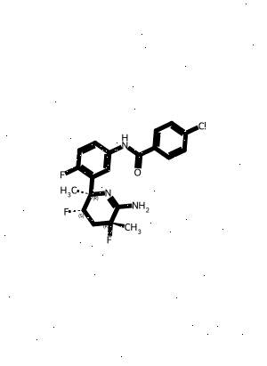 C[C@@]1(F)C[C@H](F)[C@@](C)(c2cc(NC(=O)c3ccc(Cl)cc3)ccc2F)N=C1N